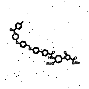 COC(=O)C1CC(=O)N(C2C=CC(OC)=C(NC(=O)c3ccc(-c4ccc(OCc5ccc(OC6CCN(C(=O)c7ccc(C)cc7)CC6)cc5)cc4)cc3)CC2)C1